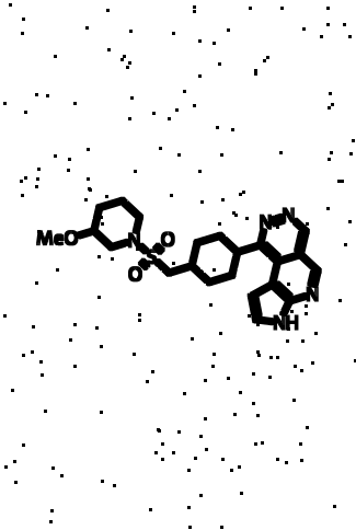 COC1CCCN(S(=O)(=O)CC2CCC(c3nncc4cnc5[nH]ccc5c34)CC2)C1